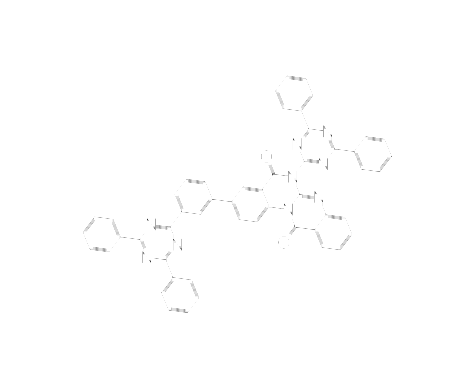 O=c1c2cc(-c3cccc(-c4nc(-c5ccccc5)nc(-c5ccccc5)n4)c3)ccc2n2c(=O)c3ccccc3nc2n1-c1nc(-c2ccccc2)nc(-c2ccccc2)n1